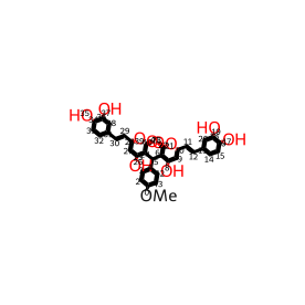 COc1ccc(C(c2c(O)cc(C=Cc3ccc(O)c(O)c3)oc2=O)c2c(O)cc(C=Cc3ccc(O)c(O)c3)oc2=O)cc1